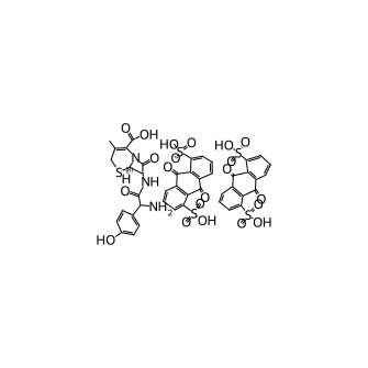 CC1=C(C(=O)O)N2C(=O)C(NC(=O)C(N)c3ccc(O)cc3)[C@H]2SC1.O=C1c2cccc(S(=O)(=O)O)c2C(=O)c2cccc(S(=O)(=O)O)c21.O=C1c2cccc(S(=O)(=O)O)c2C(=O)c2cccc(S(=O)(=O)O)c21